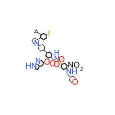 O=C(NS(=O)(=O)c1ccc(NCC2CCOCC2)c([N+](=O)[O-])c1)c1ccc(C2=CCC(N3CCCC3c3ccc(F)cc3C3CC3)CC2)cc1Oc1cnc2[nH]ccc2c1